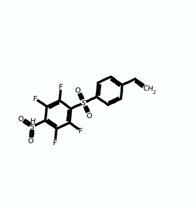 C=Cc1ccc(S(=O)(=O)c2c(F)c(F)c([SH](=O)=O)c(F)c2F)cc1